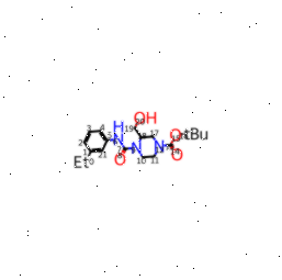 CCc1cccc(NC(=O)N2CCN(C(=O)OC(C)(C)C)CC2CO)c1